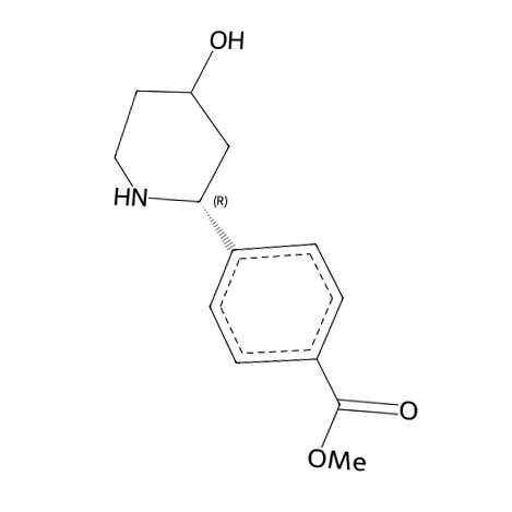 COC(=O)c1ccc([C@H]2CC(O)CCN2)cc1